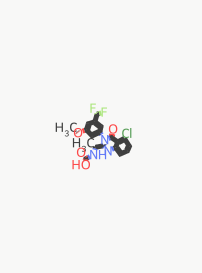 COc1cc(C(F)F)cc(-n2c(C(C)NC(=O)O)nc3cccc(Cl)c3c2=O)c1